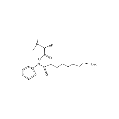 CCCCCCCCCCCCCCCCCC(=O)N(OC(=O)C(CCC)N(C)C)c1ccccc1